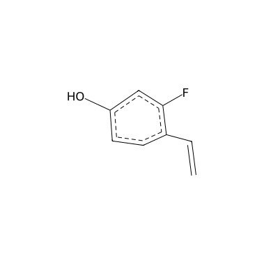 C=Cc1ccc(O)cc1F